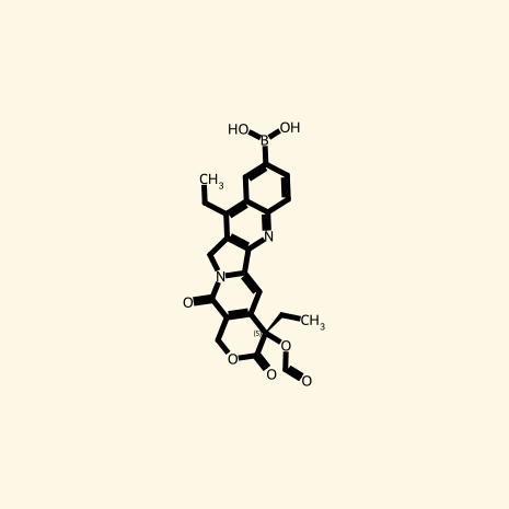 CCc1c2c(nc3ccc(B(O)O)cc13)-c1cc3c(c(=O)n1C2)COC(=O)[C@@]3(CC)OC=O